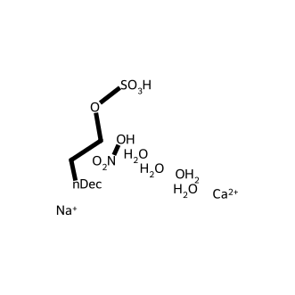 CCCCCCCCCCCCOS(=O)(=O)O.O.O.O.O.O=[N+]([O-])O.[Ca+2].[Na+]